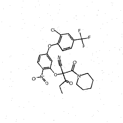 CCC(=O)C(C#N)(Oc1cc(Oc2ccc(C(F)(F)F)cc2Cl)ccc1[N+](=O)[O-])C(=O)N1CCCCC1